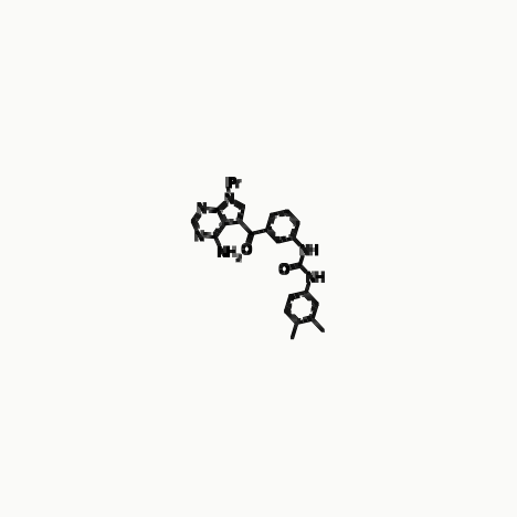 Cc1ccc(NC(=O)Nc2cccc(C(=O)c3cn(C(C)C)c4ncnc(N)c34)c2)cc1C